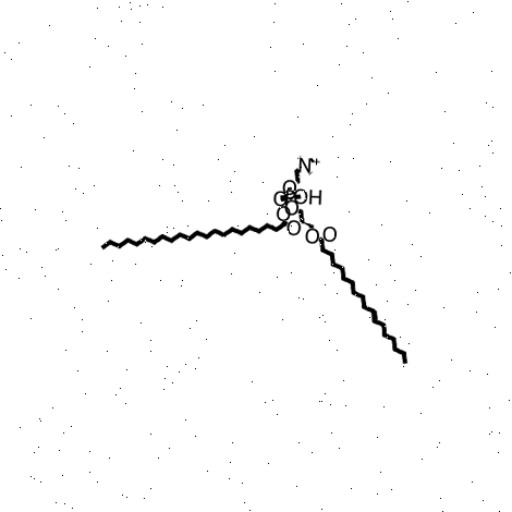 CCCCCC/C=C/CCCCCCCCCC(=O)OC[C@H](COP(=O)(O)OCC[N+](C)(C)C)OC(=O)CCCCCCCCCCCCCCCCCCCCC